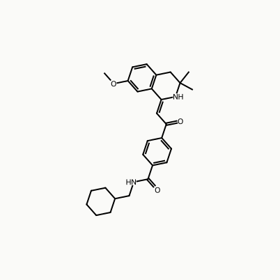 COc1ccc2c(c1)C(=CC(=O)c1ccc(C(=O)NCC3CCCCC3)cc1)NC(C)(C)C2